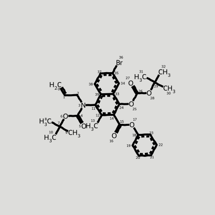 C=CCN(C(=O)OC(C)(C)C)c1c(C)c(C(=O)Oc2ccccc2)c(OC(=O)OC(C)(C)C)c2cc(Br)ccc12